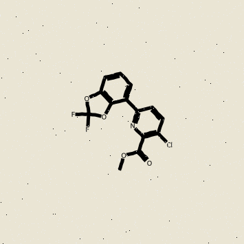 COC(=O)c1nc(-c2cccc3c2OC(F)(F)O3)ccc1Cl